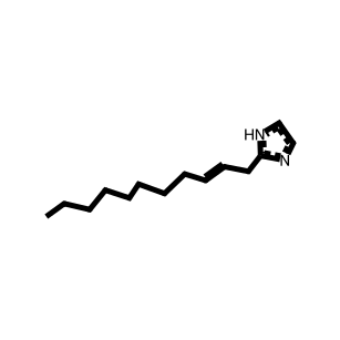 CCCCCCCCC=CCc1ncc[nH]1